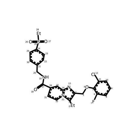 CCc1c(COc2c(F)cccc2Cl)nc2cc(C(=O)NCc3ccc(S(=O)(=O)CC)cc3)ccn12